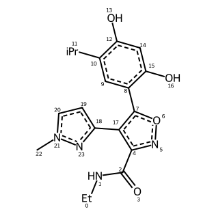 CCNC(=O)c1noc(-c2cc(C(C)C)c(O)cc2O)c1-c1ccn(C)n1